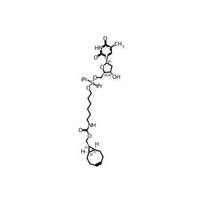 Cc1cn([C@H]2C[C@@H](O)[C@@H](CO[Si](OCCCCCCNC(=O)OC[C@@H]3[C@@H]4CCC#CCC[C@@H]43)(C(C)C)C(C)C)O2)c(=O)[nH]c1=O